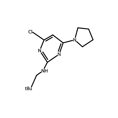 CC(C)(C)CNc1nc(Cl)cc(N2CCCC2)n1